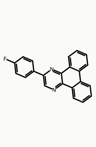 Fc1ccc(-c2cnc3c4ccccc4c4ccccc4c3n2)cc1